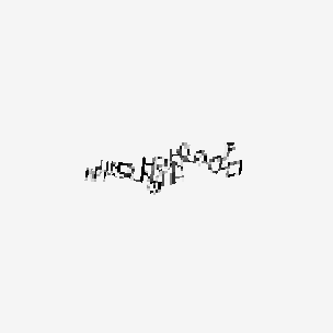 CCCC1CC(CNC(=O)[C@@H]2C[C@H](NC(=O)COc3ccc(Cl)c(F)c3)C3CC2C3)ON1